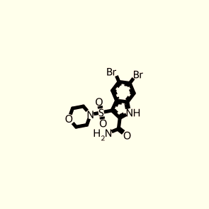 NC(=O)c1[nH]c2cc(Br)c(Br)cc2c1S(=O)(=O)N1CCOCC1